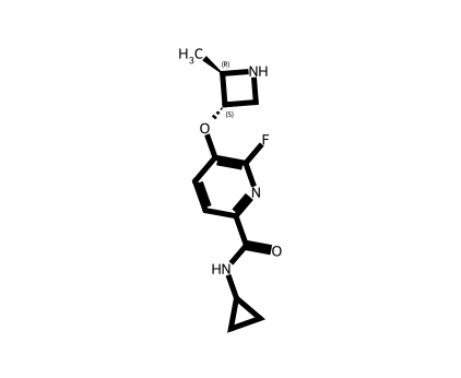 C[C@H]1NC[C@@H]1Oc1ccc(C(=O)NC2CC2)nc1F